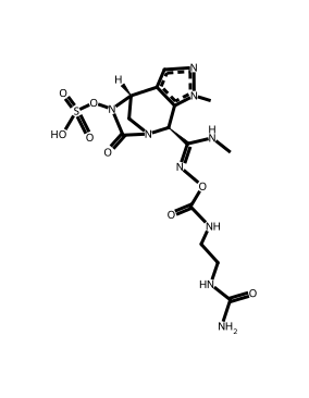 CN/C(=N\OC(=O)NCCNC(N)=O)[C@@H]1c2c(cnn2C)[C@@H]2CN1C(=O)N2OS(=O)(=O)O